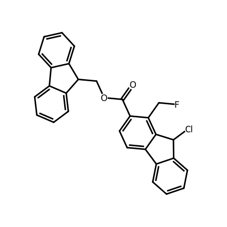 O=C(OCC1c2ccccc2-c2ccccc21)c1ccc2c(c1CF)C(Cl)c1ccccc1-2